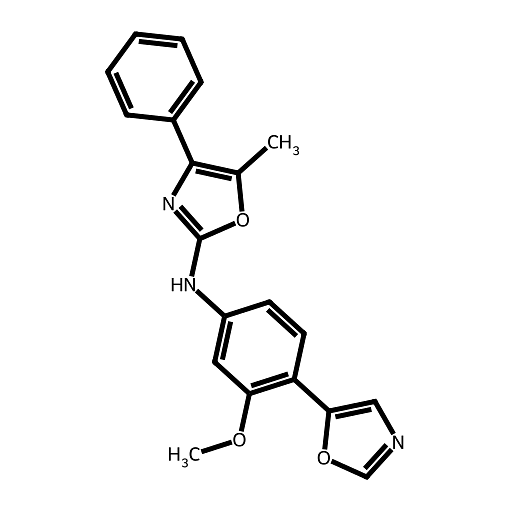 COc1cc(Nc2nc(-c3ccccc3)c(C)o2)ccc1-c1cnco1